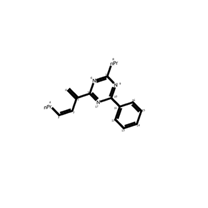 C=C(/C=C\CCC)c1nc(CCC)nc(-c2ccccc2)n1